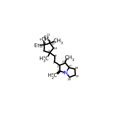 C=C1C(CCC2(C)CC(C)(CC)C(C)(CC)C2)C(C)C2CCCN12